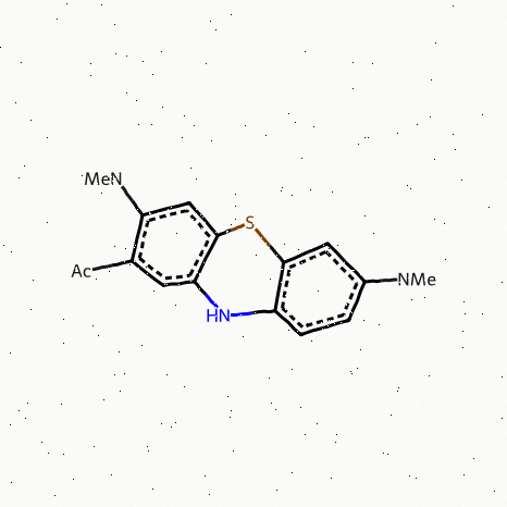 CNc1ccc2c(c1)Sc1cc(NC)c(C(C)=O)cc1N2